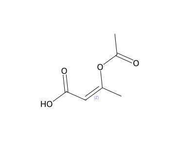 CC(=O)O/C(C)=C\C(=O)O